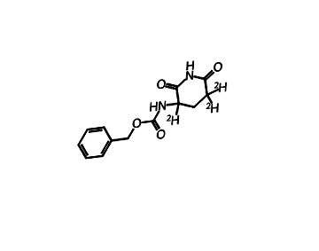 [2H]C1([2H])CC([2H])(NC(=O)OCc2ccccc2)C(=O)NC1=O